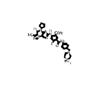 CC[C@@H]1c2c(C#N)ncn2-c2cnc(Nc3cc(F)c(C(=O)Nc4ccc(CN5CCN(C)CC5)cc4)cc3OC)nc2N1C1CCCC1